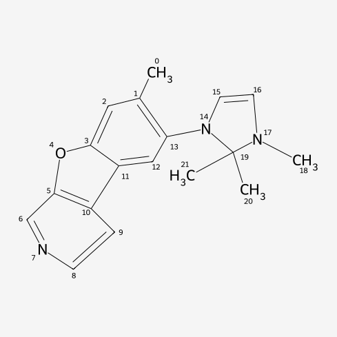 Cc1cc2oc3cnccc3c2cc1N1C=CN(C)C1(C)C